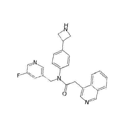 O=C(Cc1cncc2ccccc12)N(Cc1cncc(F)c1)c1ccc(C2CNC2)cc1